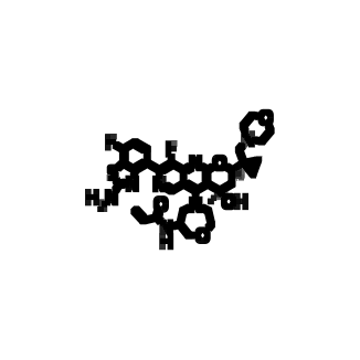 C=CC(=O)NC1COCCN(c2c3c(nc4c(F)c(-c5ccc(F)c6sc(N)nc56)ncc24)O[C@@H](C2(CN4CCOCC4)CC2)C[C@@]3(C)O)C1